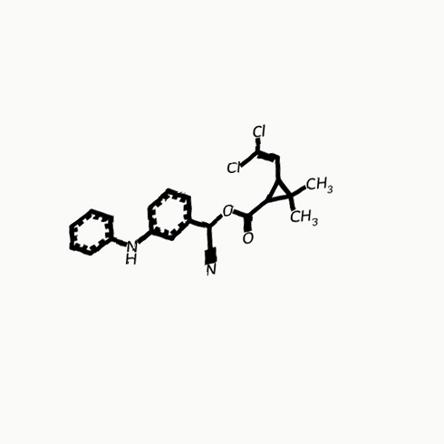 CC1(C)C(C=C(Cl)Cl)C1C(=O)OC(C#N)c1cccc(Nc2ccccc2)c1